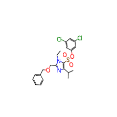 CCn1c(COCc2ccccc2)nc(C(C)C)c1S(=O)(=O)Oc1cc(Cl)cc(Cl)c1